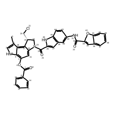 Cc1c[nH]c2c(OC(=O)c3ccccc3)cc3c(c12)[C@H](CCl)CN3C(=O)c1cc2cc(NC(=O)c3cc4ccccc4o3)ccc2[nH]1